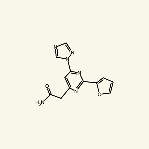 NC(=O)Cc1cc(-n2cncn2)nc(-c2ccco2)n1